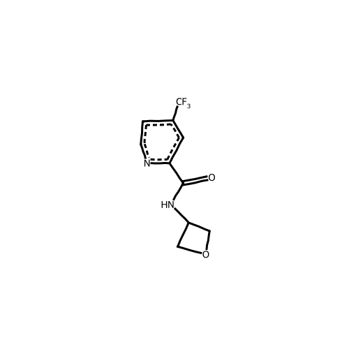 O=C(NC1COC1)c1cc(C(F)(F)F)ccn1